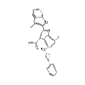 Cc1c(-c2cc(C(=O)N=O)c3c(O[C@H]4C[C@@H](c5ccccc5)C4)ccc(C)c3n2)oc2ccccc12